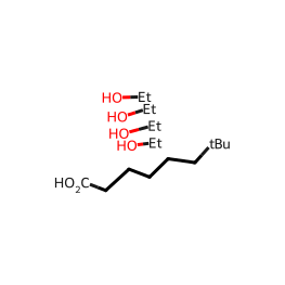 CC(C)(C)CCCCCC(=O)O.CCO.CCO.CCO.CCO